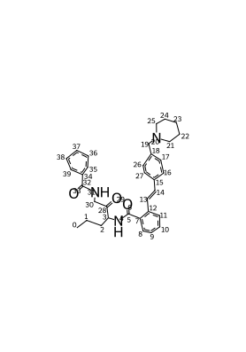 CCCC(NC(=O)c1ccccc1C=Cc1ccc(CN2CCCCC2)cc1)C(=O)CNC(=O)c1ccccc1